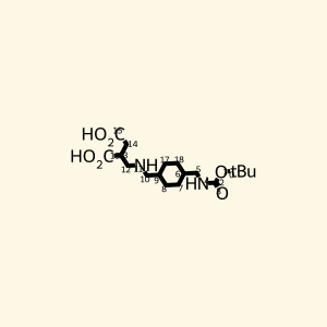 CC(C)(C)OC(=O)NCC1CCC(CNCC(CC(=O)O)C(=O)O)CC1